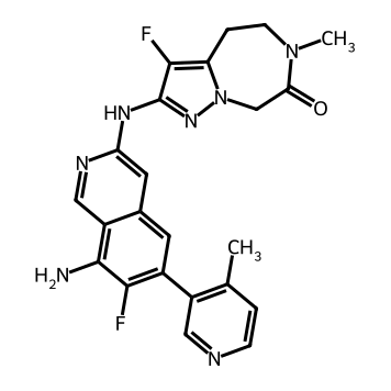 Cc1ccncc1-c1cc2cc(Nc3nn4c(c3F)CCN(C)C(=O)C4)ncc2c(N)c1F